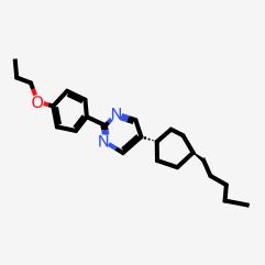 CCCCC[C@H]1CC[C@H](c2cnc(-c3ccc(OCCC)cc3)nc2)CC1